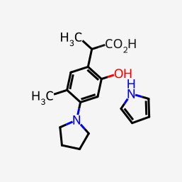 Cc1cc(C(C)C(=O)O)c(O)cc1N1CCCC1.c1cc[nH]c1